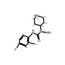 CCCCN(C(=O)Nc1ccc(F)cc1F)C1CCNCC1